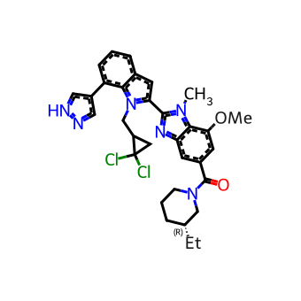 CC[C@@H]1CCCN(C(=O)c2cc(OC)c3c(c2)nc(-c2cc4cccc(-c5cn[nH]c5)c4n2CC2CC2(Cl)Cl)n3C)C1